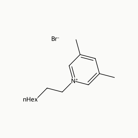 CCCCCCCC[n+]1cc(C)cc(C)c1.[Br-]